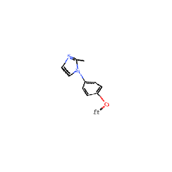 CCOc1ccc(-n2ccnc2C)cc1